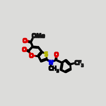 COC(=O)c1cc2sc(N(C)C(=O)c3cccc(C(F)(F)F)c3)cc2oc1=O